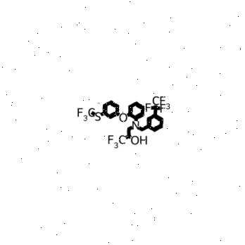 OC(CN(Cc1cccc(C(F)(F)C(F)(F)F)c1)c1ccccc1Oc1cccc(SC(F)(F)F)c1)C(F)(F)F